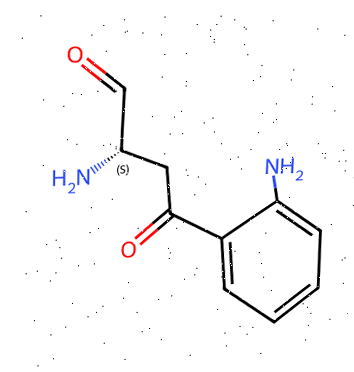 Nc1ccccc1C(=O)C[C@H](N)C=O